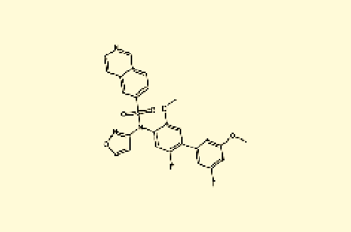 COc1cc(F)cc(-c2cc(OC)c(N(c3ccon3)S(=O)(=O)c3ccc4cnccc4c3)cc2F)c1